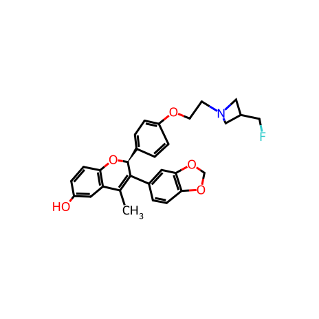 CC1=C(c2ccc3c(c2)OCO3)[C@H](c2ccc(OCCN3CC(CF)C3)cc2)Oc2ccc(O)cc21